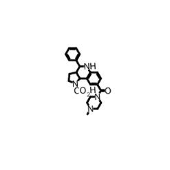 CN1CCN(C(=O)c2ccc3c(c2)C2C(CCN2C(=O)O)C(c2ccccc2)N3)CC1